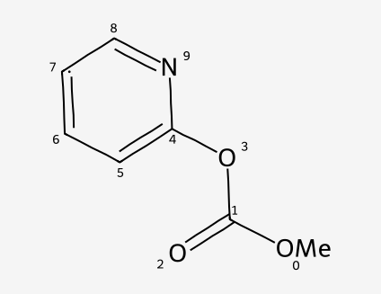 COC(=O)Oc1cc[c]cn1